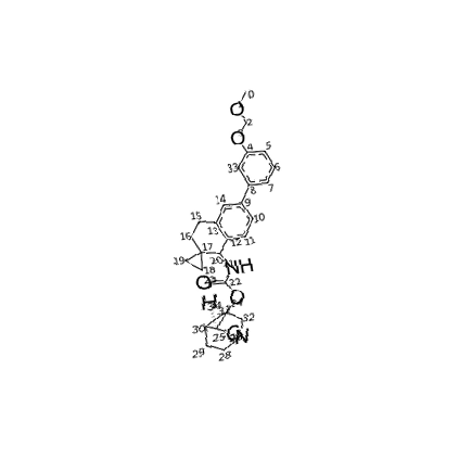 COCOc1cccc(-c2ccc3c(c2)CCC2(CC2)C3NC(=O)O[C@H]2CN3CCC2CC3)c1